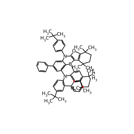 CC(C)(C)c1ccc(N2c3cc(-c4ccccc4)cc4c3B(c3cc5c(cc3N4c3ccc(C(C)(C)C)cc3-c3ccccc3)C(C)(C)CCC5(C)C)c3c2oc2c3C(C)(C)CCC2(C)C)cc1